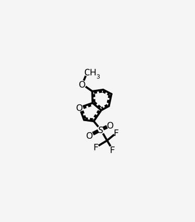 COc1cccc2c(S(=O)(=O)C(F)(F)F)coc12